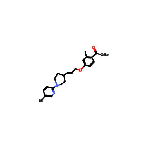 CCc1ccc(N2CCC(CCCOc3ccc(C(=O)OC)c(C)c3)CC2)nc1